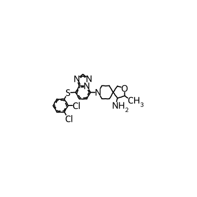 CC1OCC2(CCN(c3ccc(Sc4cccc(Cl)c4Cl)c4ncnn34)CC2)C1N